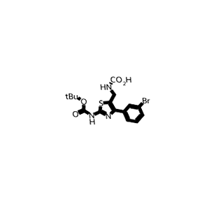 CC(C)(C)OC(=O)Nc1nc(-c2cccc(Br)c2)c(CNC(=O)O)s1